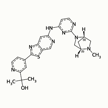 CN1C[C@@H]2C[C@H]1CN2c1nccc(Nc2cc3nc(-c4ccnc(C(C)(C)O)c4)sc3cn2)n1